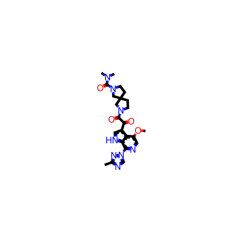 COc1cnc(-n2cnc(C)n2)c2[nH]cc(C(=O)C(=O)N3CCC4(CCN(C(=O)N(C)C)C4)C3)c12